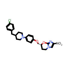 O=[N+]([O-])c1cn2c(n1)O[C@@H](COc1ccc(N3CCC(Cc4ccc(Cl)cc4)CC3)cc1)CC2